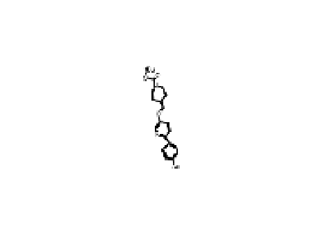 CC(=O)c1ccc(-c2ccc(OCC3CCN(C(=O)OC(C)(C)C)CC3)cn2)cc1